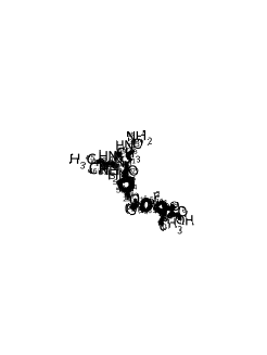 CCn1cc(C(=O)O)c(=O)c2cc(F)c(N3CCN(C(=O)OCc4ccc(NC(=O)[C@H](CCCNC(N)=O)N5C=C([C@@H](N)CC(C)C)NN5C)cc4)CC3)cc21